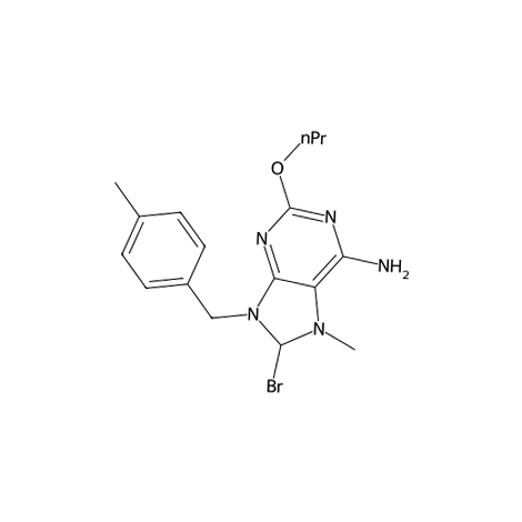 CCCOc1nc(N)c2c(n1)N(Cc1ccc(C)cc1)C(Br)N2C